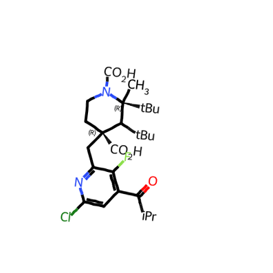 CC(C)C(=O)c1cc(Cl)nc(C[C@]2(C(=O)O)CCN(C(=O)O)[C@@](C)(C(C)(C)C)C2C(C)(C)C)c1F